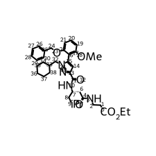 CCOC(=O)CCNC(=O)C[C@H](CC(C)C)NC(=O)c1cc(-c2c(OC)cccc2OCc2ccccc2)n(CC2CCCCC2)n1